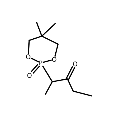 CCC(=O)C(C)P1(=O)OCC(C)(C)CO1